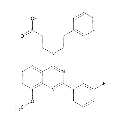 COc1cccc2c(N(CCC(=O)O)CCc3ccccc3)nc(-c3cccc(Br)c3)nc12